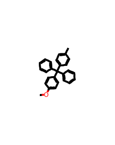 COc1ccc(C(c2ccccc2)(c2ccccc2)c2ccc(C)cc2)cc1